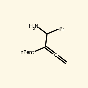 C=C=C(CCCCC)C(N)C(C)C